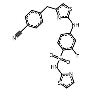 N#Cc1ccc(Cc2csc(Nc3ccc(S(=O)(=O)Nc4nccs4)c(F)c3)n2)cc1